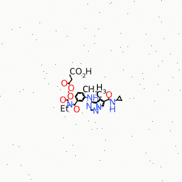 CCN(C(=O)OCOC(=O)CCC(=O)O)C(=O)c1ccc(C)c(Nc2ncnn3cc(C(=O)NC4CC4)c(C)c23)c1